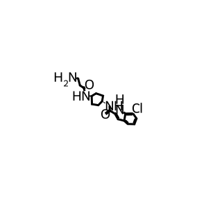 NCCC(=O)N[C@H]1CC[C@H](NC(=O)c2cc3cccc(Cl)c3[nH]2)CC1